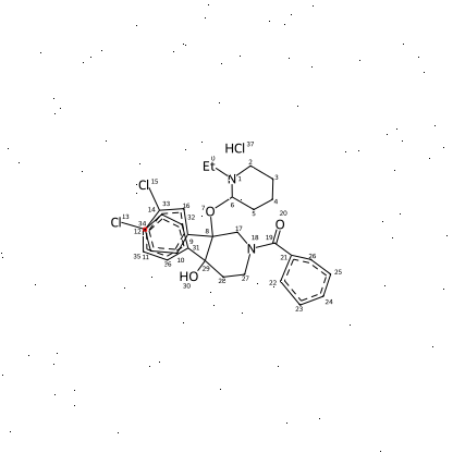 CCN1CCCCC1OC1(c2ccc(Cl)c(Cl)c2)CN(C(=O)c2ccccc2)CCC1(O)c1ccccc1.Cl